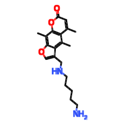 Cc1c2oc(=O)cc(C)c2c(C)c2c(CNCCCCCN)coc12